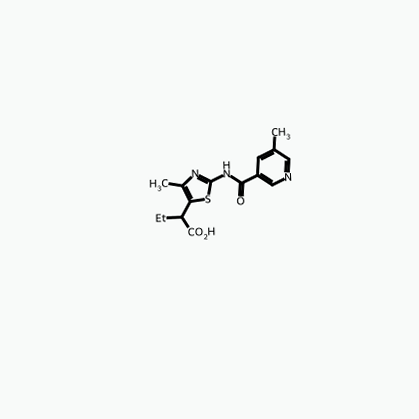 CCC(C(=O)O)c1sc(NC(=O)c2cncc(C)c2)nc1C